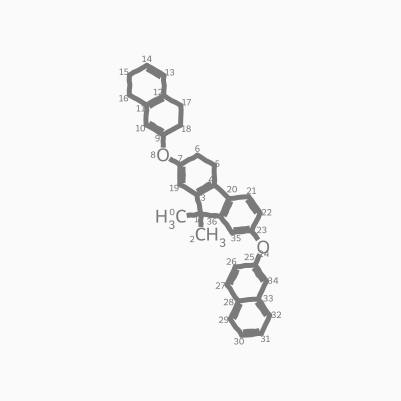 CC1(C)C2=C(CCC(OC3=CC4=C(C=CCC4)CC3)=C2)c2ccc(Oc3ccc4ccccc4c3)cc21